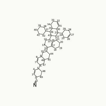 N#CC1C=CC(C2C=CC3CC(C4CCC5C6=C4CCCC6C4C(C6CC=CCC6)C6C=CCCC6C(C6CCCCC6)C54)CCC3C2)CC1